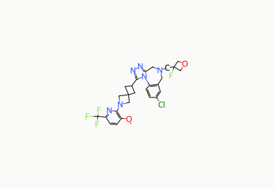 COc1ccc(C(F)(F)F)nc1N1CC2(CC(c3nnc4n3-c3ccc(Cl)cc3CN(CC3(F)COC3)C4)C2)C1